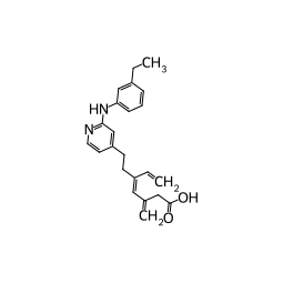 C=C/C(=C\C(=C)CC(=O)O)CCc1ccnc(Nc2cccc(CC)c2)c1